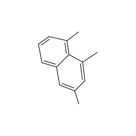 Cc1cc(C)c2c(C)cccc2c1